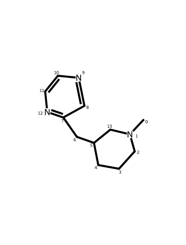 CN1CCCC(Cc2cnccn2)C1